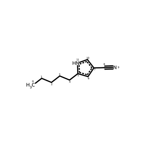 CCCCCc1cc(C#N)c[nH]1